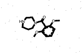 COc1cccc(OC)c1C(=O)N1CCCNCC1